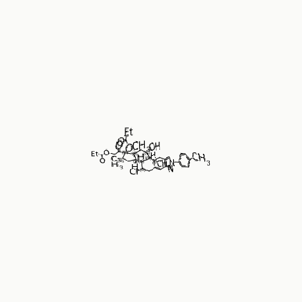 CCC(=O)OCC(=O)[C@@]1(OC(=O)CC)[C@H](C)C[C@H]2[C@H]3[C@H]([C@@H](O)C[C@@]21C)[C@@]1(C)Cc2cn(-c4ccc(C)cc4)nc2C=C1C[C@H]3Cl